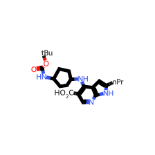 CCCc1cc2c(NC3CCC(NC(=O)OC(C)(C)C)CC3)c(C(=O)O)cnc2[nH]1